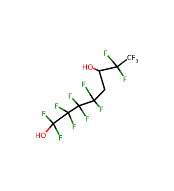 OC(CC(F)(F)C(F)(F)C(F)(F)C(O)(F)F)C(F)(F)C(F)(F)F